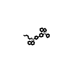 CC/C=C\C=C/CN(c1ccc(-c2ccc(N(c3ccccc3)c3cccc4ccccc34)cc2)cc1)c1cccc2ccccc12